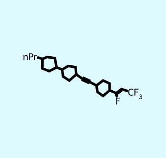 CCCC1CCC(C2CCC(C#CC3CCC(/C(F)=C/C(F)(F)F)CC3)CC2)CC1